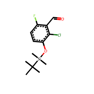 CC(C)(C)[Si](C)(C)Oc1ccc(F)c(C=O)c1Cl